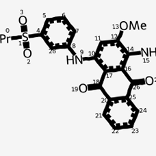 CCCS(=O)(=O)c1cccc(Nc2cc(OC)c(N)c3c2C(=O)c2ccccc2C3=O)c1